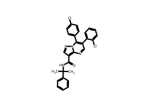 CC(C)(NC(=O)c1cnn2c(-c3ccc(Cl)cc3)c(-c3ccccc3Cl)cnc12)c1ccccc1